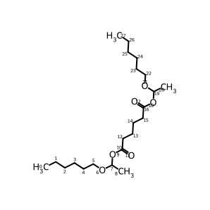 CCCCCCOC(C)OC(=O)CCCCC(=O)OC(C)OCCCCCC